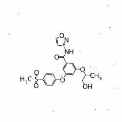 CC(CO)Oc1cc(Oc2ccc(S(C)(=O)=O)cc2)cc(C(=O)Nc2ccon2)c1